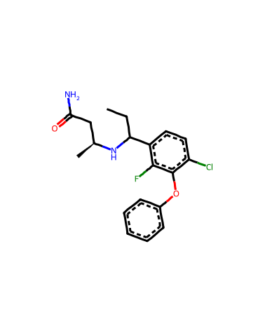 CCC(N[C@@H](C)CC(N)=O)c1ccc(Cl)c(Oc2ccccc2)c1F